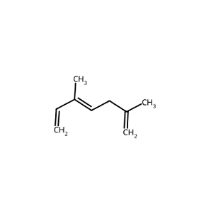 C=CC(C)=CCC(=C)C